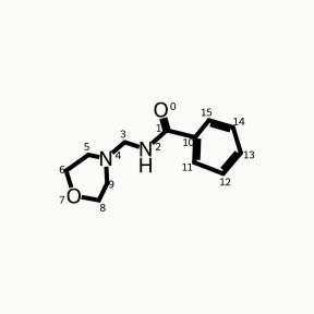 O=C(NCN1CCOCC1)c1ccccc1